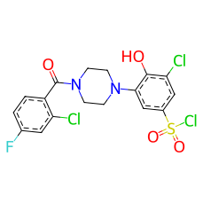 O=C(c1ccc(F)cc1Cl)N1CCN(c2cc(S(=O)(=O)Cl)cc(Cl)c2O)CC1